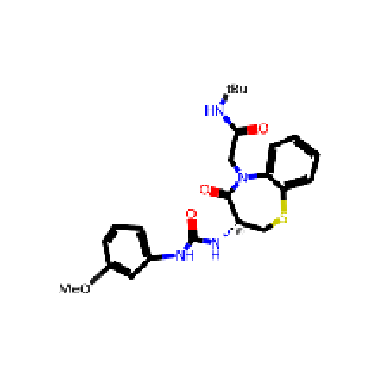 COc1cccc(NC(=O)N[C@H]2CSc3ccccc3N(CC(=O)NC(C)(C)C)C2=O)c1